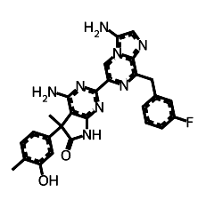 Cc1ccc(C2(C)C(=O)Nc3nc(-c4cn5c(N)cnc5c(Cc5cccc(F)c5)n4)nc(N)c32)cc1O